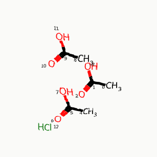 CC(=O)O.CC(=O)O.CC(=O)O.Cl